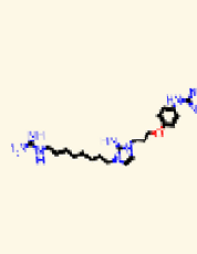 N=C(N)NCCCCCCCCn1ccn(CCCOc2ccc(NC(=N)N)cc2)c1=N